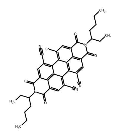 CCCCC(CC)N1C(=O)c2cc(Br)c3c4c(C#N)cc5c6c(cc(C#N)c(c7c(C#N)cc(c2c37)C1=O)c64)C(=O)N(C(CC)CCCC)C5=O